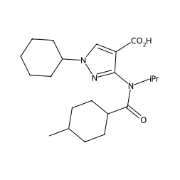 CC1CCC(C(=O)N(c2nn(C3CCCCC3)cc2C(=O)O)C(C)C)CC1